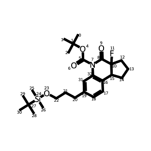 CC(C)(C)OC(=O)N1C(=O)C2(F)CCCC2c2ccc(CCCO[Si](C)(C)C(C)(C)C)cc21